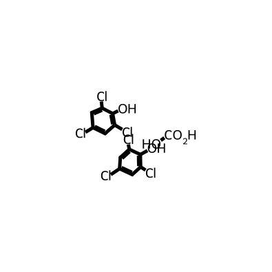 O=C(O)O.Oc1c(Cl)cc(Cl)cc1Cl.Oc1c(Cl)cc(Cl)cc1Cl